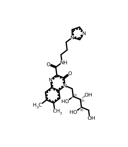 Cc1cc2nc(C(=O)NCCCn3ccnc3)c(=O)n(C[C@H](O)[C@H](O)[C@H](O)CO)c2cc1C